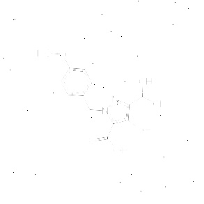 COc1ccc(Cn2nc(C(C)C)c(O)c2C(=O)O)cc1